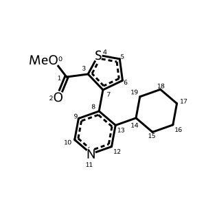 COC(=O)c1sccc1-c1ccncc1C1CCCCC1